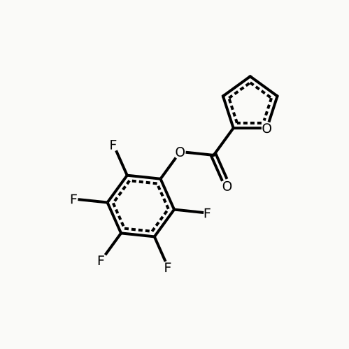 O=C(Oc1c(F)c(F)c(F)c(F)c1F)c1ccco1